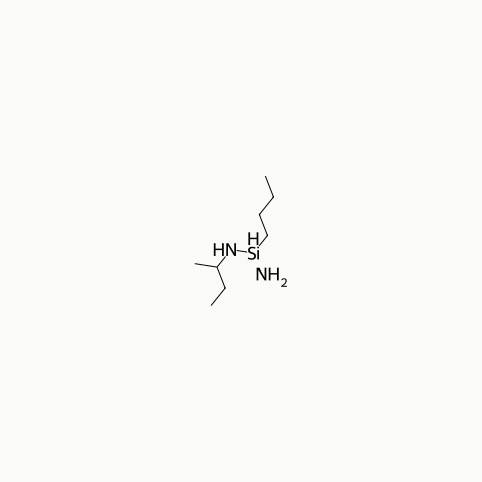 CCCC[SiH](N)NC(C)CC